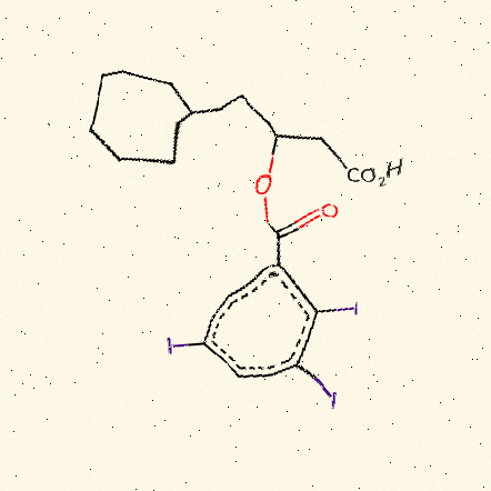 O=C(O)CC(CC1CCCCC1)OC(=O)c1cc(I)cc(I)c1I